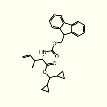 C=C[C@H](C)[C@H](NC(=O)OCC1c2ccccc2-c2ccccc21)C(=O)OC(C1CC1)C1CC1